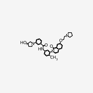 Cc1ccc(NC(=O)c2cccc(N3CC[C@@H](O)C3)c2)cc1-n1ccc2ccc(OCCN3CCCC3)cc2c1=O